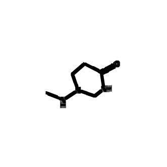 CNN1CCC(=O)NC1